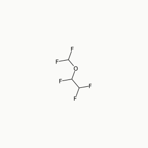 FC(F)OC(F)C(F)F